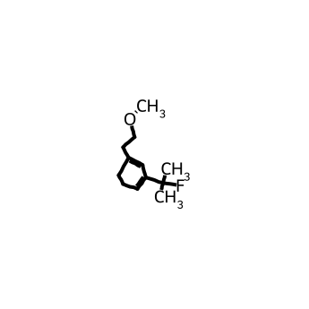 COCCC1=CC(C(C)(C)F)=CCC1